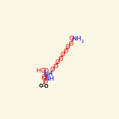 NC(=O)CCOCCOCCOCCOCCOCCOCCOCCOCCCCC[C@H](NC(=O)OCC1c2ccccc2-c2ccccc21)C(=O)NCC(=O)O